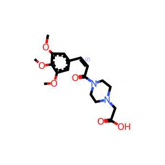 COc1cc(/C=C\C(=O)N2CCN(CC(=O)O)CC2)cc(OC)c1OC